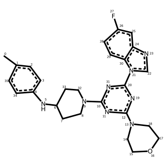 Cc1ccc(NC2CCN(c3nc(N4CCOCC4)nc(-n4cnc5cc(F)ccc54)n3)CC2)cc1